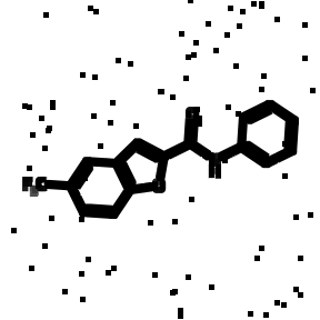 O=C(Nc1ccccc1)c1cc2cc(C(F)(F)F)ccc2o1